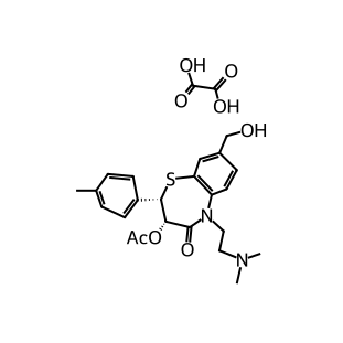 CC(=O)O[C@H]1C(=O)N(CCN(C)C)c2ccc(CO)cc2S[C@H]1c1ccc(C)cc1.O=C(O)C(=O)O